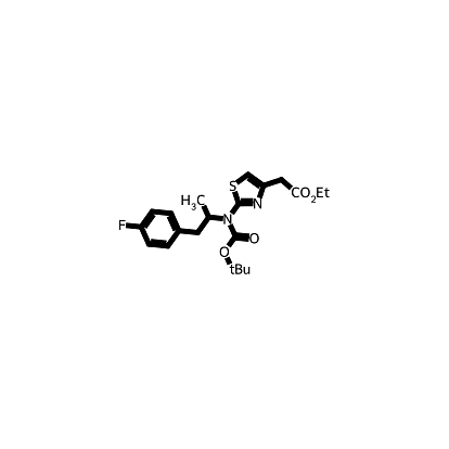 CCOC(=O)Cc1csc(N(C(=O)OC(C)(C)C)C(C)Cc2ccc(F)cc2)n1